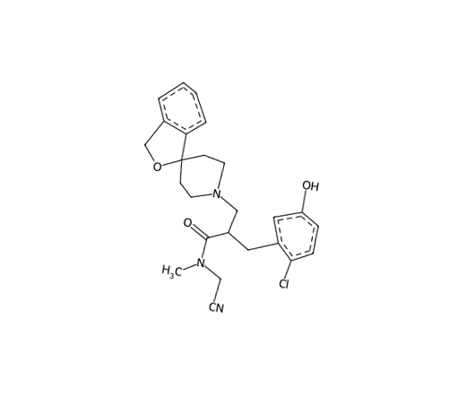 CN(CC#N)C(=O)C(Cc1cc(O)ccc1Cl)CN1CCC2(CC1)OCc1ccccc12